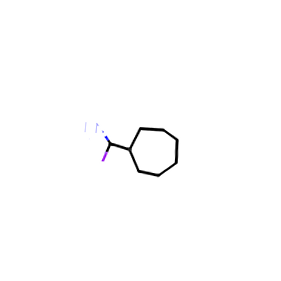 NC(I)C1CCCCCC1